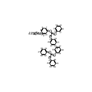 N[O].[I-].[I-].[Ni+2].c1ccc(OP(Oc2ccccc2)Oc2ccccc2)cc1.c1ccc(OP(Oc2ccccc2)Oc2ccccc2)cc1